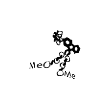 COCCOCCOCCC1(CCOCCOCCOC)c2ccccc2-c2ccc(B3OC(C)(C)C(C)(C)O3)cc21